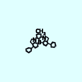 Cc1cc2c3c(c1)N1CCc4c(-c5ccccc5)ccc(c41)B3c1ccc(-c3ccccc3)c3c1N2CC3